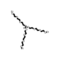 CCOCCOCCOCCOP(=O)(OCCOCCOCCOCC)OCCOCCOCCOCC